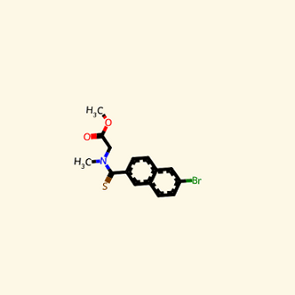 COC(=O)CN(C)C(=S)c1ccc2cc(Br)ccc2c1